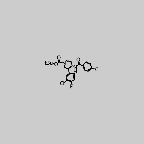 CC(C)(C)OC(=O)N1CCC(NC(=O)c2ccc(Cl)cc2)C(c2ccc(F)c(Cl)c2)C1